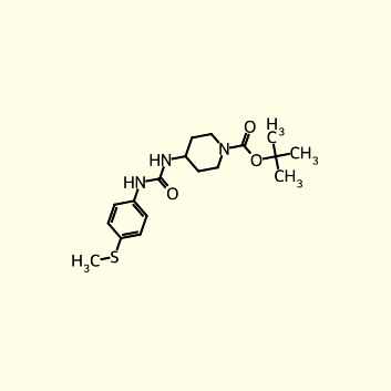 CSc1ccc(NC(=O)NC2CCN(C(=O)OC(C)(C)C)CC2)cc1